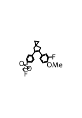 COc1ccc(C2=C(c3ccc(S(=O)(=O)CF)cc3)CC3(CC3)C2)cc1F